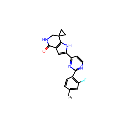 CC(C)c1ccc(-c2nccc(-c3cc4c([nH]3)C3(CC3)CNC4=O)n2)c(F)c1